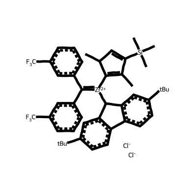 CC1=[C]([Zr+2](=[C](c2cccc(C(F)(F)F)c2)c2cccc(C(F)(F)F)c2)[CH]2c3cc(C(C)(C)C)ccc3-c3ccc(C(C)(C)C)cc32)C(C)C=C1[Si](C)(C)C.[Cl-].[Cl-]